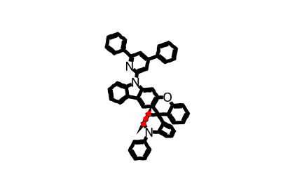 c1ccc(-c2cc(-c3ccccc3)nc(-n3c4ccccc4c4cc5c(cc43)Oc3ccccc3C53c4ccccc4N(c4ccccc4)c4ccccc43)c2)cc1